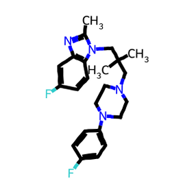 Cc1nc2cc(F)ccc2n1CC(C)(C)CN1CCN(c2ccc(F)cc2)CC1